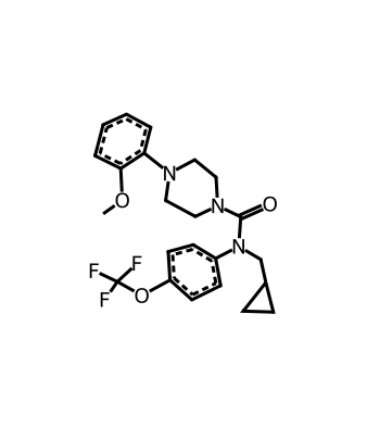 COc1ccccc1N1CCN(C(=O)N(CC2CC2)c2ccc(OC(F)(F)F)cc2)CC1